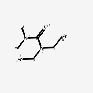 CC(C)CN(CC(C)C)C(=O)N(C)C